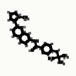 BC(B)(B)Oc1ccc(C(=O)Nc2cc3nc(-c4cncn4C)ccc3cn2)cc1